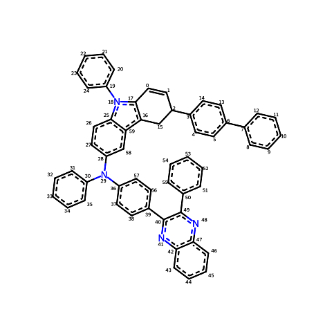 C1=CC(c2ccc(-c3ccccc3)cc2)Cc2c1n(-c1ccccc1)c1ccc(N(c3ccccc3)c3ccc(-c4nc5ccccc5nc4-c4ccccc4)cc3)cc21